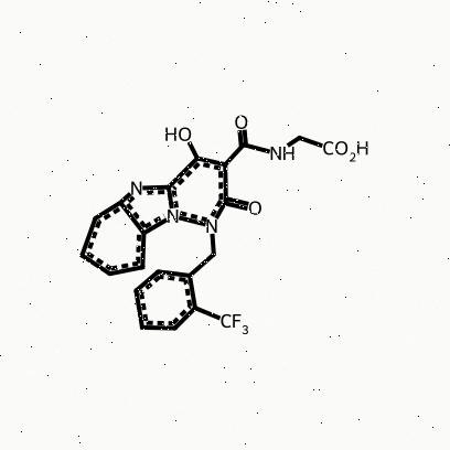 O=C(O)CNC(=O)c1c(O)c2nc3ccccc3n2n(Cc2ccccc2C(F)(F)F)c1=O